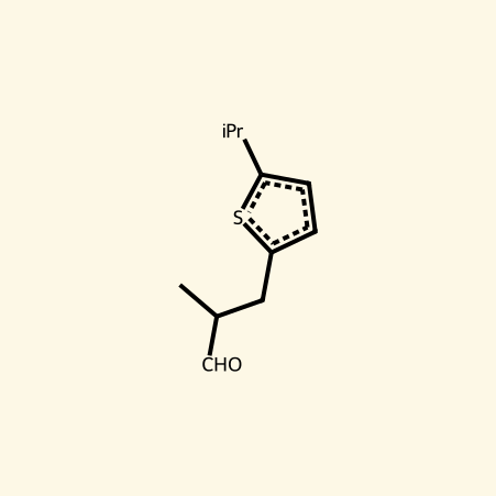 CC(C=O)Cc1ccc(C(C)C)s1